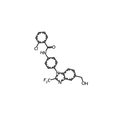 O=C(Nc1ccc(-n2c(C(F)(F)F)nc3cc(CO)ccc32)cc1)c1ccccc1Cl